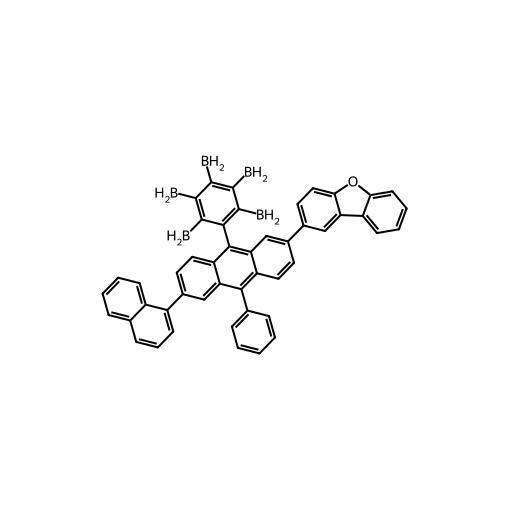 Bc1c(B)c(B)c(-c2c3ccc(-c4cccc5ccccc45)cc3c(-c3ccccc3)c3ccc(-c4ccc5oc6ccccc6c5c4)cc23)c(B)c1B